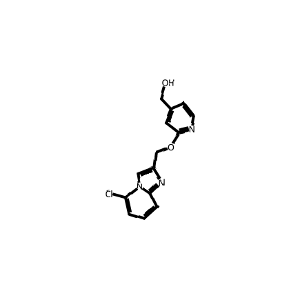 OCc1ccnc(OCc2cn3c(Cl)cccc3n2)c1